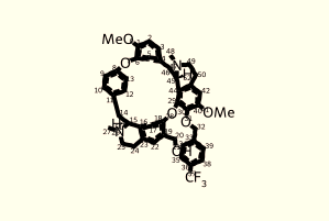 COc1ccc2cc1Oc1ccc(cc1)C[C@H]1c3cc(c(CO)cc3CCN1C)Oc1c(OCc3ccc(C(F)(F)F)cc3)c(OC)cc3c1[C@H](C2)N(C)CC3